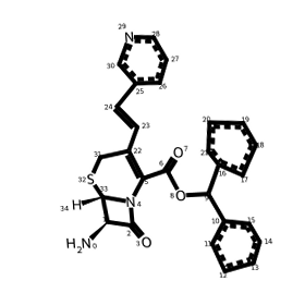 N[C@@H]1C(=O)N2C(C(=O)OC(c3ccccc3)c3ccccc3)=C(/C=C/c3cccnc3)CS[C@@H]12